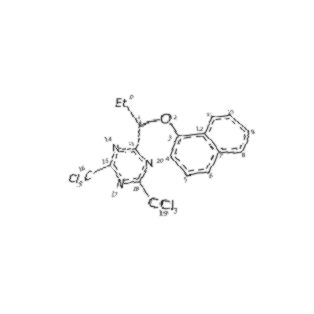 CCC(Oc1cccc2ccccc12)c1nc(C(Cl)(Cl)Cl)nc(C(Cl)(Cl)Cl)n1